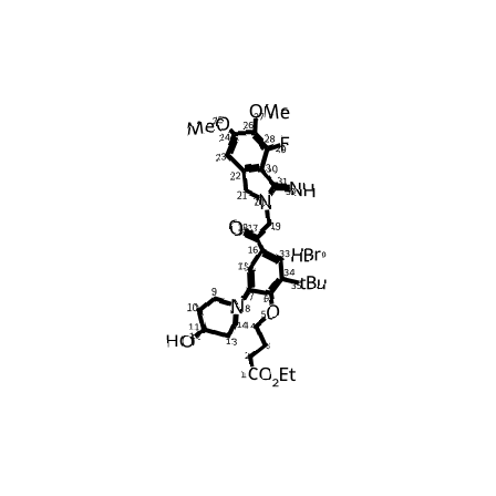 Br.CCOC(=O)CCCOc1c(N2CCC(O)CC2)cc(C(=O)CN2Cc3cc(OC)c(OC)c(F)c3C2=N)cc1C(C)(C)C